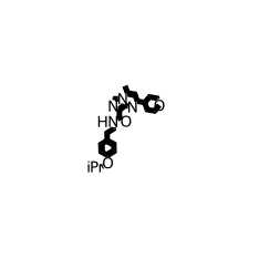 Cc1cc(C2CCOCC2)nc2c(C(=O)NCCc3ccc(OC(C)C)cc3)ncn12